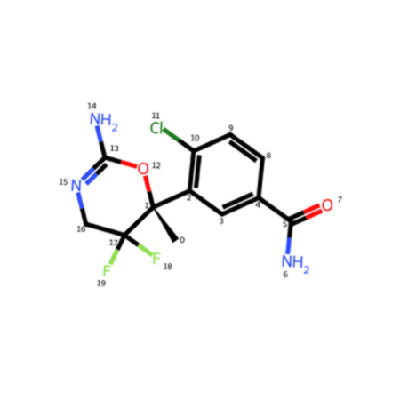 C[C@]1(c2cc(C(N)=O)ccc2Cl)OC(N)=NCC1(F)F